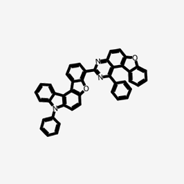 c1ccc(-c2nc(-c3cccc4c3oc3ccc5c(c6ccccc6n5-c5ccccc5)c34)nc3ccc4oc5ccccc5c4c23)cc1